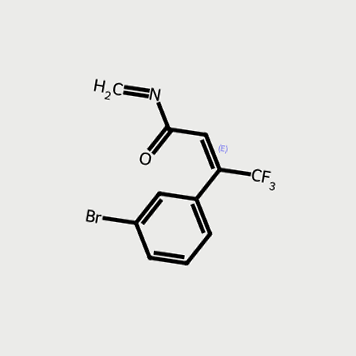 C=NC(=O)/C=C(\c1cccc(Br)c1)C(F)(F)F